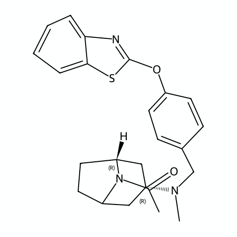 CC(=O)N1C2CC[C@@H]1C[C@H](N(C)Cc1ccc(Oc3nc4ccccc4s3)cc1)C2